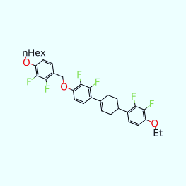 CCCCCCOc1ccc(COc2ccc(C3=CCC(c4ccc(OCC)c(F)c4F)CC3)c(F)c2F)c(F)c1F